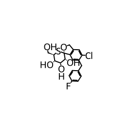 OC[C@H]1S[C@]2(OCc3cc(Cl)c(Cc4ccc(F)cc4)cc32)[C@H](O)[C@@H](O)[C@@H]1O